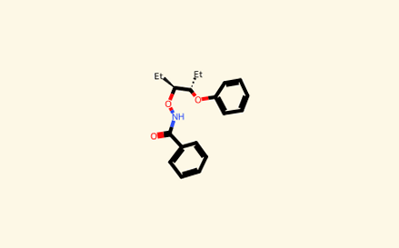 CC[C@H](ONC(=O)c1ccccc1)[C@H](CC)Oc1ccccc1